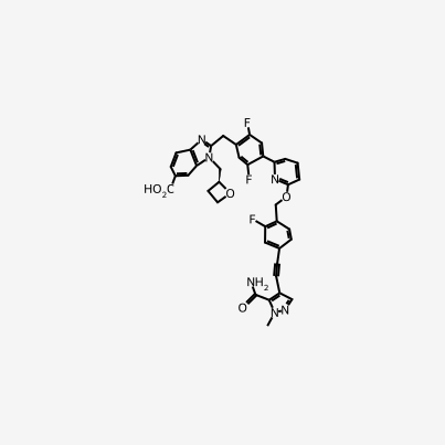 Cn1ncc(C#Cc2ccc(COc3cccc(-c4cc(F)c(Cc5nc6ccc(C(=O)O)cc6n5C[C@@H]5CCO5)cc4F)n3)c(F)c2)c1C(N)=O